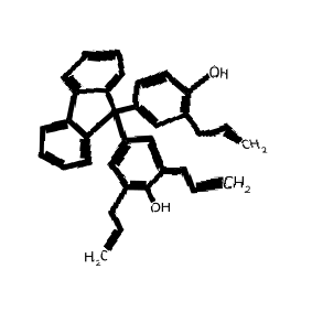 C=CCc1cc(C2(c3cc(CC=C)c(O)c(CC=C)c3)c3ccccc3-c3ccccc32)ccc1O